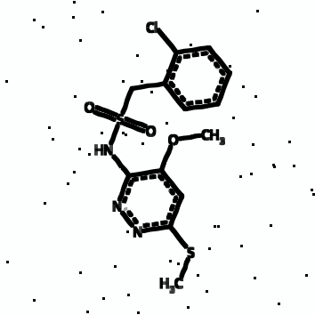 COc1cc(SC)nnc1NS(=O)(=O)Cc1ccccc1Cl